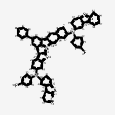 Fc1ccc(N(c2ccc3cc4c5cc(-c6ccccc6)cc6c7c8ccc(N(c9ccc(F)cc9)c9ccc%10sc%11ccccc%11c%10c9)cc8sc7n(c4cc3c2)c56)c2ccc3sc4ccccc4c3c2)cc1